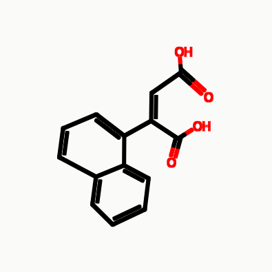 O=C(O)/C=C(\C(=O)O)c1cccc2ccccc12